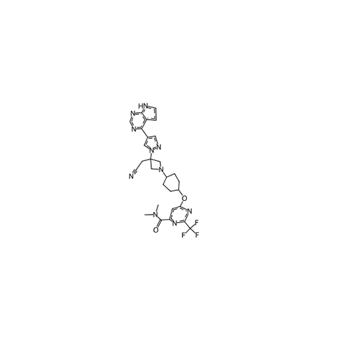 CN(C)C(=O)c1cc(OC2CCC(N3CC(CC#N)(n4cc(-c5ncnc6[nH]ccc56)cn4)C3)CC2)nc(C(F)(F)F)n1